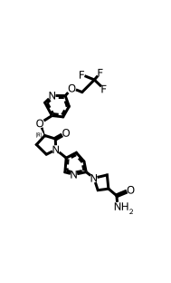 NC(=O)C1CN(c2ccc(N3CC[C@@H](Oc4ccc(OCC(F)(F)F)nc4)C3=O)cn2)C1